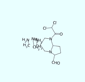 CN.CN.CN.O=CC1CCC2N(C(=O)C(Cl)Cl)CCCN12